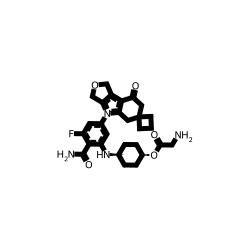 NCC(=O)O[C@H]1CC[C@H](Nc2cc(-n3c4c(c5c3CC3(CCC3)CC5=O)COC4)cc(F)c2C(N)=O)CC1